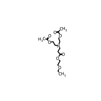 CCOCCOC(=O)CCN(CCOC(C)=O)CCOC(C)=O